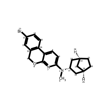 CN(c1ccc2c(n1)OCc1cc(Br)ccc1-2)[C@H]1C[C@@H]2CC[C@@H](C2)C1